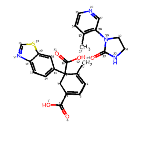 CC1=CC=C(C(=O)O)CC1(C(=O)O)c1ccc2ncsc2c1.Cc1ccncc1N1CCNC1=O